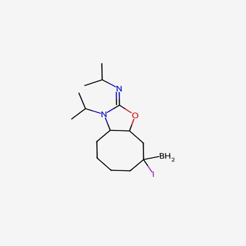 BC1(I)CCCCC2C(C1)O/C(=N/C(C)C)N2C(C)C